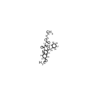 CCCCOC(=O)CNC(=O)c1nc2ccc(OC)cc2cc1OCc1ccccc1